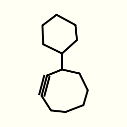 C1#C[C](C2CCCCC2)CCCCC1